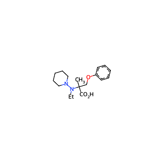 CCN(N1CCCCC1)C(C)(COc1ccccc1)C(=O)O